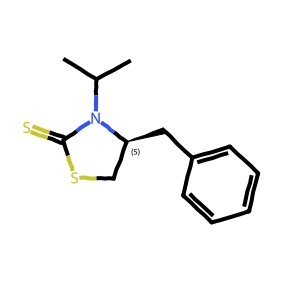 CC(C)N1C(=S)SC[C@@H]1Cc1ccccc1